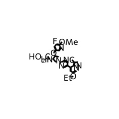 CCOc1cc(-c2ccc(N3C[C@@H](NC(=O)O)[C@H](Oc4cnc(OC)c(F)c4)C3)nc2)c2c(C#N)cnn2c1